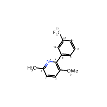 COc1ccc(C)nc1-c1cccc(C(F)(F)F)c1